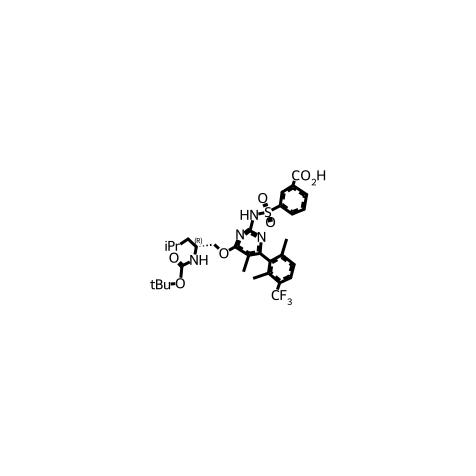 Cc1ccc(C(F)(F)F)c(C)c1-c1nc(NS(=O)(=O)c2cccc(C(=O)O)c2)nc(OC[C@@H](CC(C)C)NC(=O)OC(C)(C)C)c1C